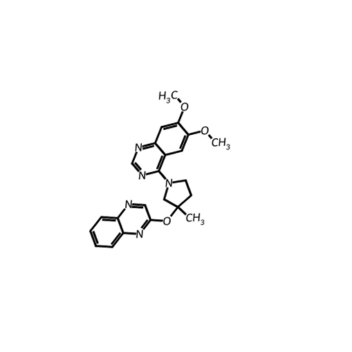 COc1cc2ncnc(N3CCC(C)(Oc4cnc5ccccc5n4)C3)c2cc1OC